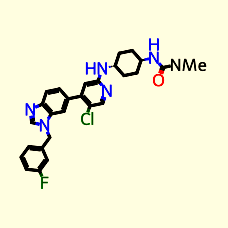 CNC(=O)N[C@H]1CC[C@H](Nc2cc(-c3ccc4ncn(Cc5cccc(F)c5)c4c3)c(Cl)cn2)CC1